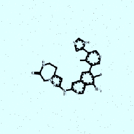 Cc1c(-c2cnc[nH]2)cncc1-c1cc2cc(Nc3cc4n(n3)CC(=O)NCC4)ncc2c(N)c1F